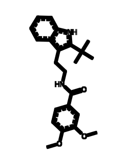 COc1ccc(C(=O)NCCc2c(C(C)(C)C)[nH]c3ccccc23)cc1OC